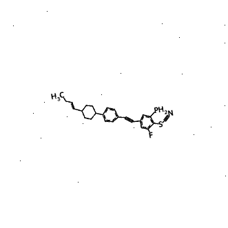 CC/C=C/C1CCC(c2ccc(C#Cc3cc(F)c(SC#N)c(P)c3)cc2)CC1